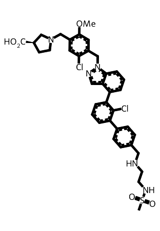 COc1cc(Cn2ncc3c(-c4cccc(-c5ccc(CNCCNS(C)(=O)=O)cc5)c4Cl)cccc32)c(Cl)cc1CN1CC[C@@H](C(=O)O)C1